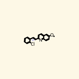 COc1ccc2nc(/C=C/c3ccccc3Cl)ccc2c1